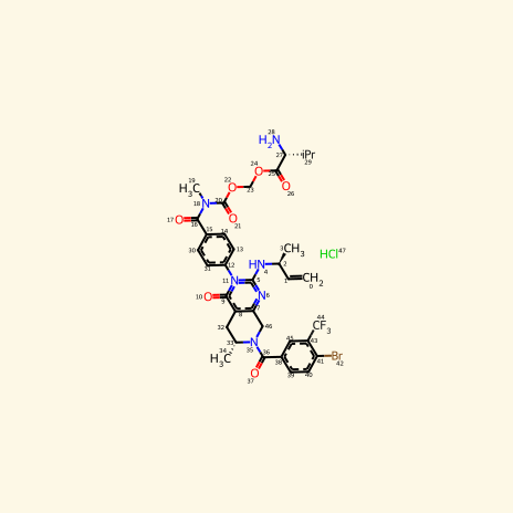 C=C[C@H](C)Nc1nc2c(c(=O)n1-c1ccc(C(=O)N(C)C(=O)OCOC(=O)[C@H](N)C(C)C)cc1)C[C@@H](C)N(C(=O)c1ccc(Br)c(C(F)(F)F)c1)C2.Cl